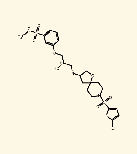 CNS(=O)(=O)c1cccc(OC[C@@H](O)CNC2COC3(CCN(S(=O)(=O)c4ccc(Cl)s4)CC3)C2)c1